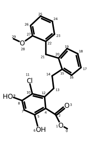 COC(=O)c1c(O)cc(O)c(Cl)c1CCc1ccccc1Cc1ccccc1OC